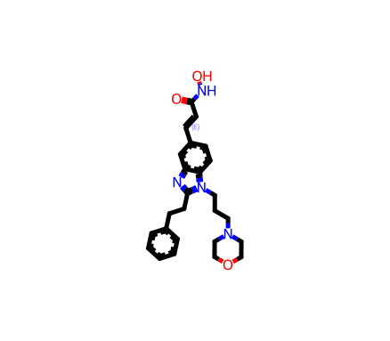 O=C(/C=C/c1ccc2c(c1)nc(CCc1ccccc1)n2CCCN1CCOCC1)NO